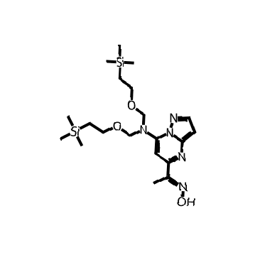 CC(=NO)c1cc(N(COCC[Si](C)(C)C)COCC[Si](C)(C)C)n2nccc2n1